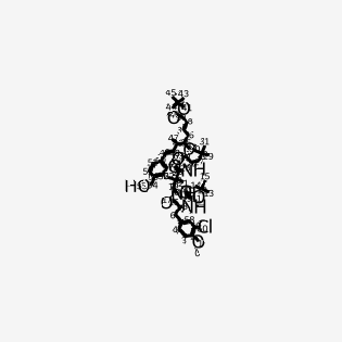 COc1ccc(CC(NC(=O)OC(C)(C)C)C(=O)NCC(C)(C)C(=O)NC(CC(C)(C)C)C(=O)OC(C/C=C/C(=O)OC(C)(C)C)C(C)/C=C/c2ccc(CO)cc2)cc1Cl